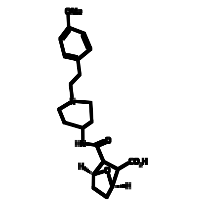 COc1ccc(CCN2CCC(NC(=O)C3C(C(=O)O)[C@H]4CC[C@@H]3O4)CC2)cc1